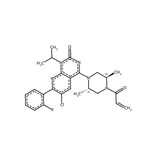 C=CC(=O)N1C[C@H](C)N(c2nc(=O)n(C(C)C)c3nc(-c4ccccc4F)c(Cl)cc23)C[C@H]1C